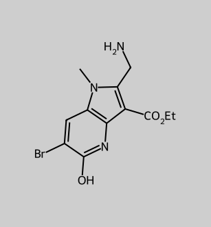 CCOC(=O)c1c(CN)n(C)c2cc(Br)c(O)nc12